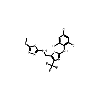 CSc1nnc(NCc2sc(Nc3c(Cl)cc(Cl)cc3Cl)nc2C(F)(F)F)s1